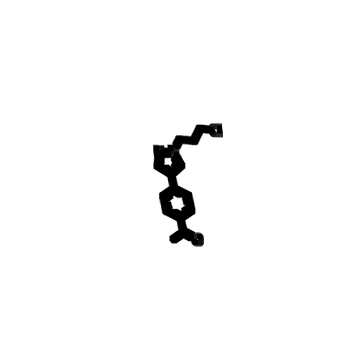 CC(=O)c1ccc(-c2cnn(CCCCl)c2)cc1